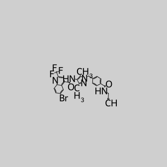 C#CCNC(=O)c1ccc(Cn2nc(C)c(NC(=O)c3cc(C(F)(F)F)nc4ccc(Br)cc34)c2C)cc1